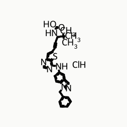 CC(C)(C)C(C#Cc1cc2ncnc(Nc3ccc4c(cnn4Cc4ccccc4)c3)c2s1)NC(=O)O.Cl